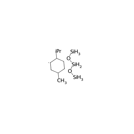 CC1C[CH]C(C(C)C)CC1.[SiH3]O[SiH2]O[SiH3]